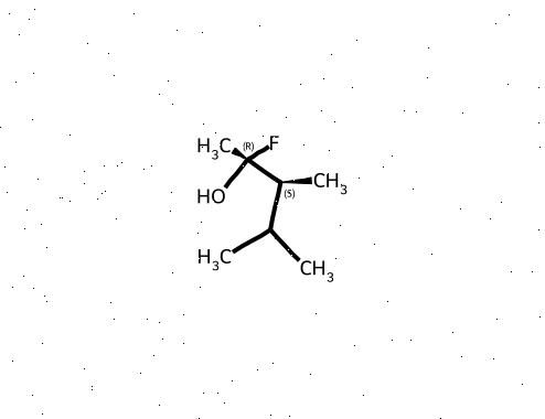 CC(C)[C@H](C)[C@](C)(O)F